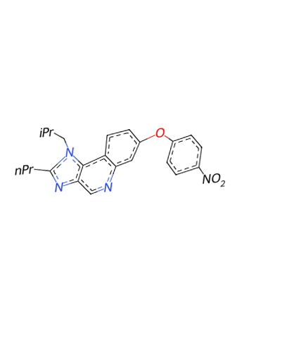 CCCc1nc2cnc3cc(Oc4ccc([N+](=O)[O-])cc4)ccc3c2n1CC(C)C